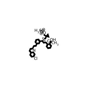 CC(C)(O)c1ccccc1CCC(SCC1(COS(C)(=O)=O)CC1)c1cccc(C=Cc2ccc3ccc(Cl)cc3n2)c1